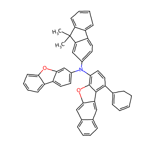 CC1(C)c2ccccc2-c2ccc(N(c3ccc4c(c3)oc3ccccc34)c3ccc(C4=CC=CCC4)c4c3oc3cc5ccccc5cc34)cc21